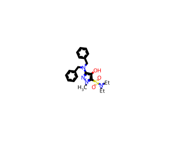 CCN(CC)S(=O)(=O)c1c(O)c(N(Cc2ccccc2)Cc2ccccc2)nn1C